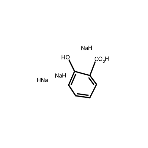 O=C(O)c1ccccc1O.[NaH].[NaH].[NaH]